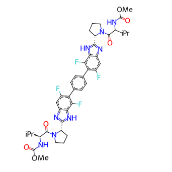 COC(=O)NC(C(=O)N1CCC[C@H]1c1nc2cc(F)c(-c3ccc(-c4c(F)cc5nc([C@@H]6CCCN6C(=O)[C@@H](NC(=O)OC)C(C)C)[nH]c5c4F)cc3)c(F)c2[nH]1)C(C)C